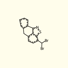 BrC(Br)c1ccc2c3c(nsc13)-c1ccccc1C2